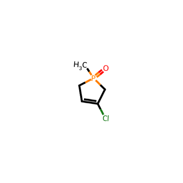 CP1(=O)CC=C(Cl)C1